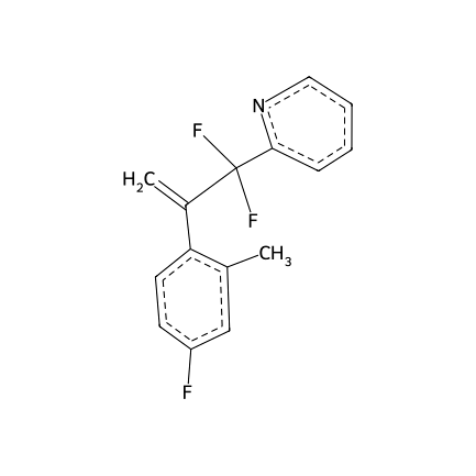 C=C(c1ccc(F)cc1C)C(F)(F)c1ccccn1